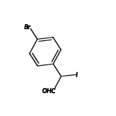 O=CC(I)c1ccc(Br)cc1